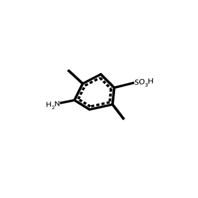 Cc1cc(S(=O)(=O)O)c(C)cc1N